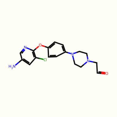 Nc1cnc(Oc2ccc(N3CCN(CC=O)CC3)cc2)c(Cl)c1